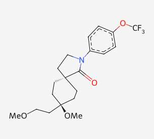 COCC[C@]1(OC)CC[C@@]2(CCN(c3ccc(OC(F)(F)F)cc3)C2=O)CC1